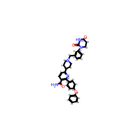 NC(=O)c1ccc(C2CCN(Cc3cccc(N4CCC(=O)NC4=O)c3)CC2)nc1-c1ccc(Oc2ccccc2)cc1